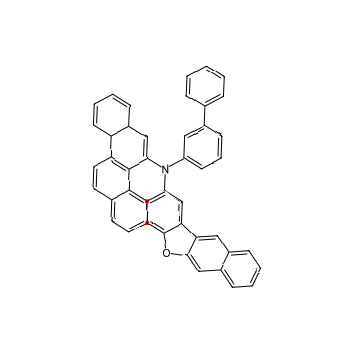 C1=CC2C=C(N(c3cccc(-c4ccccc4)c3)c3ccc4oc5cc6ccccc6cc5c4c3)c3c(ccc4ccccc34)C2C=C1